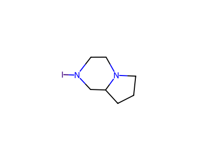 IN1CCN2CCCC2C1